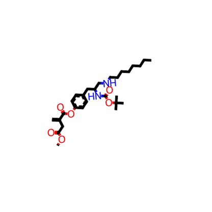 C=C(CC(=O)OC)C(=O)Oc1ccc(CC(CNCCCCCCCC)NC(=O)OC(C)(C)C)cc1